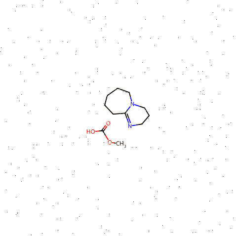 C1CCC2=NCCCN2CC1.COC(=O)O